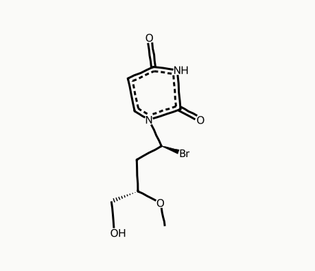 CO[C@H](CO)C[C@H](Br)n1ccc(=O)[nH]c1=O